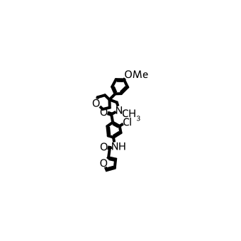 COc1ccc(C2(CN(C)C(=O)c3ccc(NC(=O)c4ccco4)cc3Cl)CCOCC2)cc1